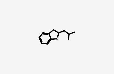 CC(C)CC1Cc2ccccc2O1